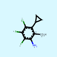 Nc1c(F)c(F)c(Cl)c(C2CC2)c1C(=O)O